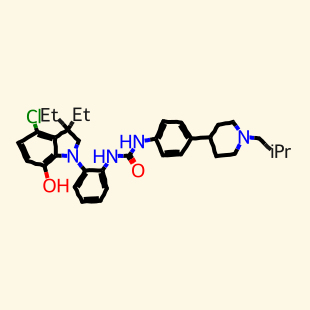 CCC1(CC)CN(c2ccccc2NC(=O)Nc2ccc(C3CCN(CC(C)C)CC3)cc2)c2c(O)ccc(Cl)c21